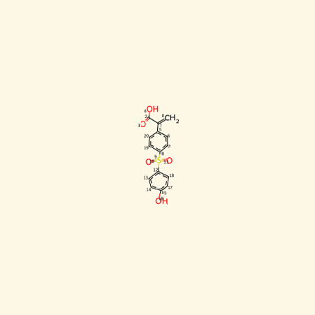 C=C(C(=O)O)c1ccc(S(=O)(=O)c2ccc(O)cc2)cc1